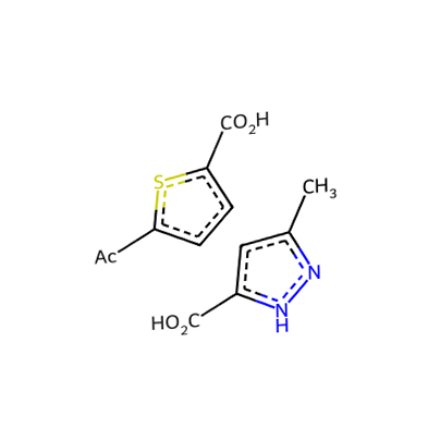 CC(=O)c1ccc(C(=O)O)s1.Cc1cc(C(=O)O)[nH]n1